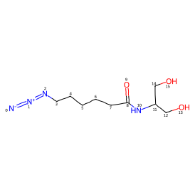 [N-]=[N+]=NCCCCCC(=O)NC(CO)CO